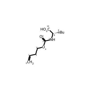 C=CCCOC(=O)N[C@@H](CCCC)C(=O)O